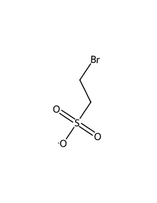 [O]S(=O)(=O)CCBr